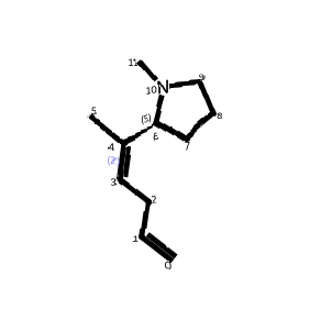 C=CC/C=C(/C)[C@@H]1CCCN1C